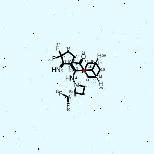 N=C1/C(=C(\NN2CC[C@@H]2C(F)F)N2C[C@H]3C[C@@H](C2)C3CC(=O)O)CCC1(F)F